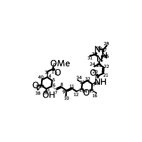 COC(=O)C[C@H]1C[C@H](/C=C/C(C)=C/C[C@@H]2O[C@H](C)[C@H](NC(=O)/C=C\C(C)n3nc(C)nc3C)C[C@@H]2C)[C@@H](O)[C@]2(CO2)C1